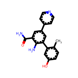 Cc1ccc(O)cc1-c1cc(-c2ccncc2)cc(C(N)=O)c1N